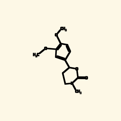 COc1ccc(C2CCN(C)C(=O)O2)cc1OC